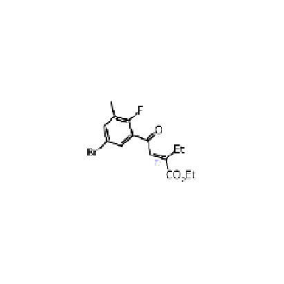 CCOC(=O)/C(=C/C(=O)c1cc(Br)cc(C)c1F)CC